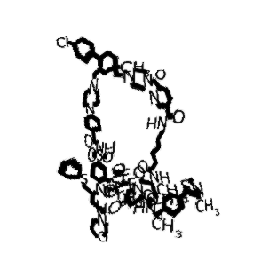 Cc1ncsc1-c1ccc([C@H](C)NC(=O)[C@@H]2C[C@@H](O)CN2C(=O)C(NC(=O)CCCCCNC(=O)c2ccc(C(=O)N3CCN(CC4(C)CCC(c5ccc(Cl)cc5)=C(CN5CCN(c6ccc(C(=O)NS(=O)(=O)c7ccc(NC(CCN8CCCOCC8)CSc8ccccc8)c(S(=O)(=O)C(F)(F)F)c7)cc6)CC5)C4)CC3)nc2)C(C)(C)C)cc1